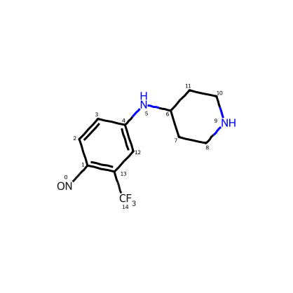 O=Nc1ccc(NC2CCNCC2)cc1C(F)(F)F